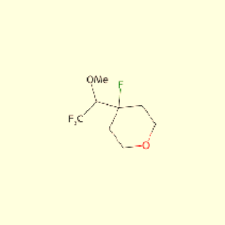 COC(C(F)(F)F)C1(F)CCOCC1